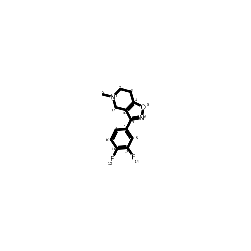 CN1CCc2onc(-c3ccc(F)c(F)c3)c2C1